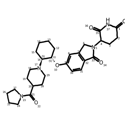 O=C1CCC(N2Cc3cc(O[C@H]4CCCC[C@@H]4N4CCC(C(=O)N5CCCC5)CC4)ccc3C2=O)C(=O)N1